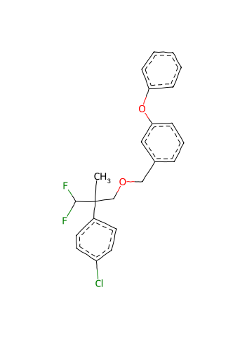 CC(COCc1cccc(Oc2ccccc2)c1)(c1ccc(Cl)cc1)C(F)F